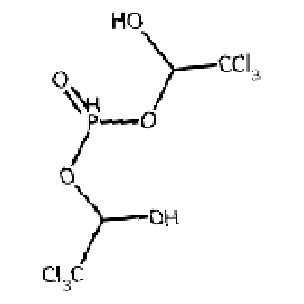 O=[PH](OC(O)C(Cl)(Cl)Cl)OC(O)C(Cl)(Cl)Cl